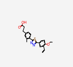 C=Cc1cc(-c2nnc(-c3ccc(CCC(=O)O)cc3C)s2)ccc1OCC